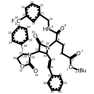 CC(C)(C)OC(=O)CCC(C(=O)NCc1cccc(C(F)(F)F)c1)N1C(=O)C(N2C(=O)OC[C@@H]2c2ccccc2)C1C=Cc1ccccc1